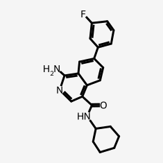 Nc1ncc(C(=O)NC2CCCCC2)c2ccc(-c3cccc(F)c3)cc12